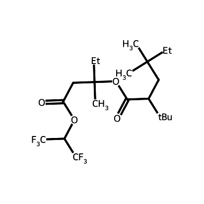 CCC(C)(C)CC(C(=O)OC(C)(CC)CC(=O)OC(C(F)(F)F)C(F)(F)F)C(C)(C)C